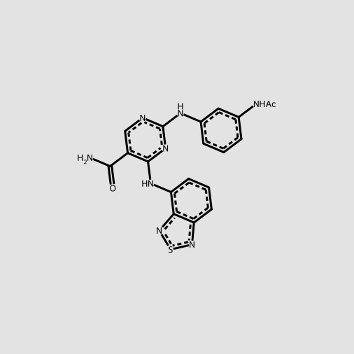 CC(=O)Nc1cccc(Nc2ncc(C(N)=O)c(Nc3cccc4nsnc34)n2)c1